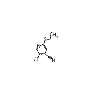 CCSc1cc(C#N)c(Cl)cn1